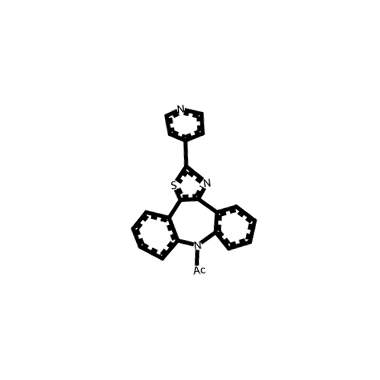 CC(=O)N1c2ccccc2-c2nc(-c3ccncc3)sc2-c2ccccc21